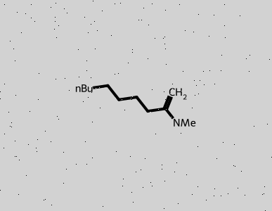 C=C(CCCCCCCC)NC